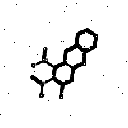 O=c1cc2oc3ccccc3cc-2c([N+](=O)[O-])c1[N+](=O)[O-]